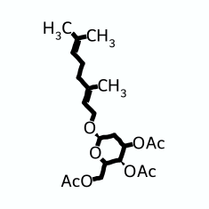 CC(=O)OCC1O[C@@H](OC/C=C(\C)CCC=C(C)C)CC(OC(C)=O)[C@@H]1OC(C)=O